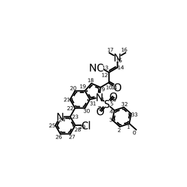 Cc1ccc(S(=O)(=O)n2c(C(=O)C(C#N)=CN(C)C)cc3ccc(-c4ncccc4Cl)cc32)cc1